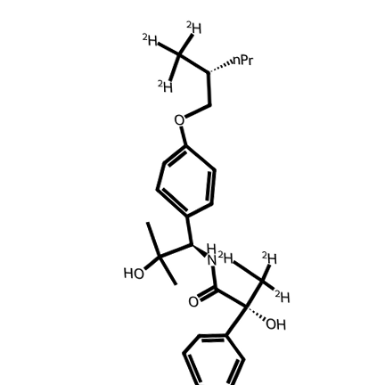 [2H]C([2H])([2H])[C@H](CCC)COc1ccc([C@@H](NC(=O)[C@](O)(c2ccccc2)C([2H])([2H])[2H])C(C)(C)O)cc1